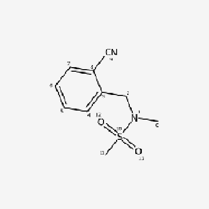 CN(Cc1ccccc1C#N)S(C)(=O)=O